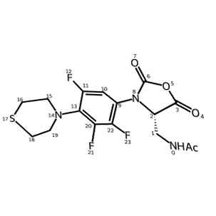 CC(=O)NC[C@H]1C(=O)OC(=O)N1c1cc(F)c(N2CCSCC2)c(F)c1F